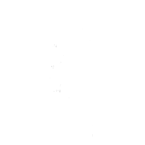 O=C(CC1CCC(F)(F)CC1)NCC(=O)N1CCN(Cc2cc(Cl)cc(Cl)c2)CC1